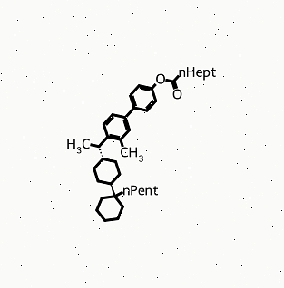 CCCCCCCC(=O)Oc1ccc(-c2ccc(C(C)[C@H]3CC[C@H](C4(CCCCC)CCCCC4)CC3)c(C)c2)cc1